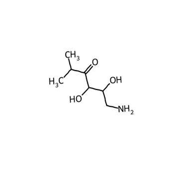 CC(C)C(=O)C(O)C(O)CN